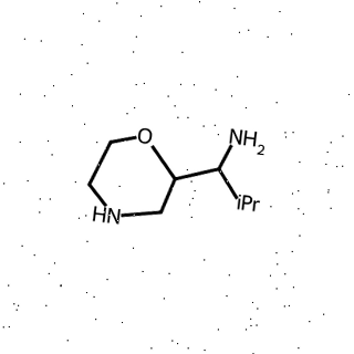 CC(C)C(N)C1CNCCO1